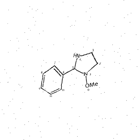 CON1CCN[C]1c1ccccc1